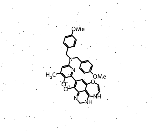 COc1ccc(CN(Cc2ccc(OC)cc2)c2cc(C)c(C(F)(F)F)c(-c3cc4c5c(c3Cl)=NCNC=5NC=CO4)n2)cc1